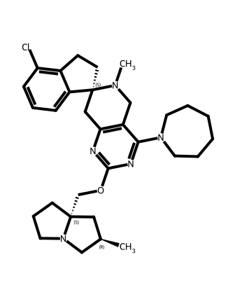 C[C@H]1CN2CCC[C@@]2(COc2nc3c(c(N4CCCCCC4)n2)CN(C)[C@@]2(CCc4c(Cl)cccc42)C3)C1